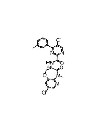 Cc1cccc(-c2nc(C(=O)N[C@H]3COc4cc(Cl)cnc4N(C)C3=O)ncc2Cl)c1